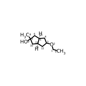 CCOC1C[C@@H]2CC(C)(O)C[C@@H]2C1